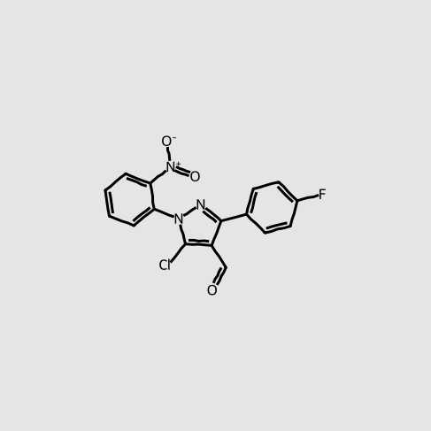 O=Cc1c(-c2ccc(F)cc2)nn(-c2ccccc2[N+](=O)[O-])c1Cl